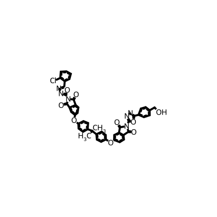 CC(C)(c1ccc(Oc2ccc3c(c2)C(=O)N(c2nnc(-c4ccc(CO)cc4)o2)C3=O)cc1)c1ccc(Oc2ccc3c(c2)C(=O)N(c2nnc(-c4ccccc4Cl)o2)C3=O)cc1